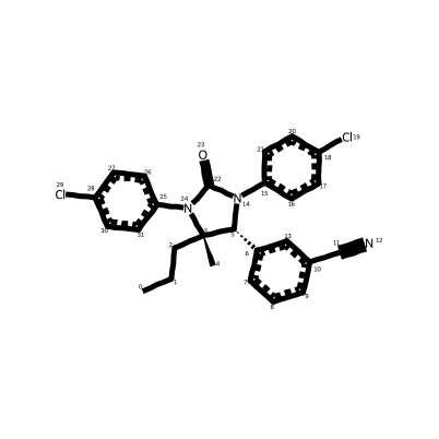 CCC[C@@]1(C)[C@@H](c2cccc(C#N)c2)N(c2ccc(Cl)cc2)C(=O)N1c1ccc(Cl)cc1